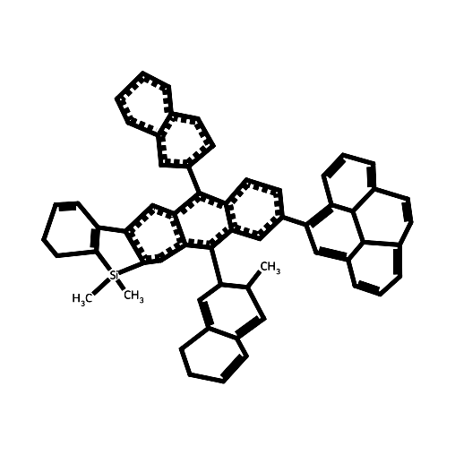 CC1C=C2C=CCCC2=CC1c1c2cc(C3=C4C=CC=C5C=CC6=CC=CC(=C3)C6C54)ccc2c(-c2ccc3ccccc3c2)c2cc3c(cc12)[Si](C)(C)C1=C3C=CCC1